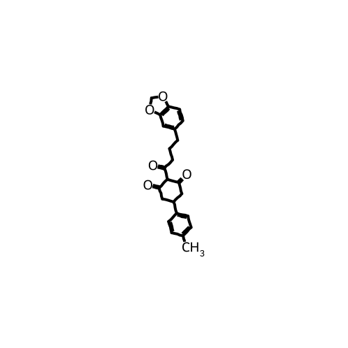 Cc1ccc(C2CC(=O)C(C(=O)CCCc3ccc4c(c3)OCO4)C(=O)C2)cc1